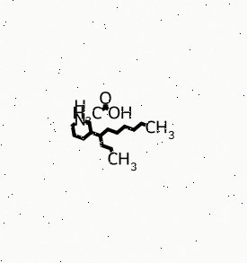 CC(=O)O.CCCCCCC(CCC)C1CCCNC1